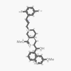 COC(=O)[C@H]1CN(C/C=C/c2cc(F)ccc2F)CC[C@H]1CCC(O)c1cccc2ncc(OC)cc12